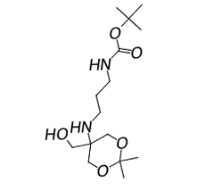 CC(C)(C)OC(=O)NCCCNC1(CO)COC(C)(C)OC1